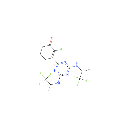 C[C@@H](Nc1nc(N[C@H](C)C(F)(F)F)nc(C2=C(F)C(=O)CCC2)n1)C(F)(F)F